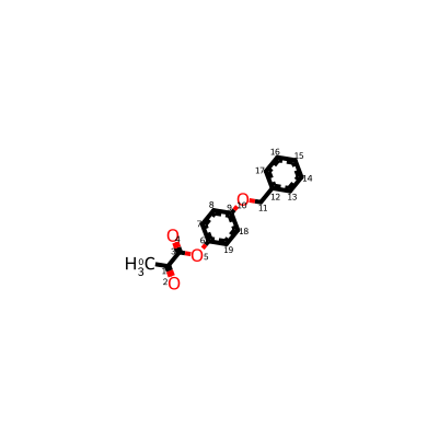 CC(=O)C(=O)Oc1ccc(OCc2ccccc2)cc1